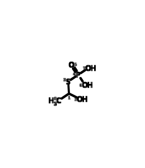 CC(O)SP(=O)(O)O